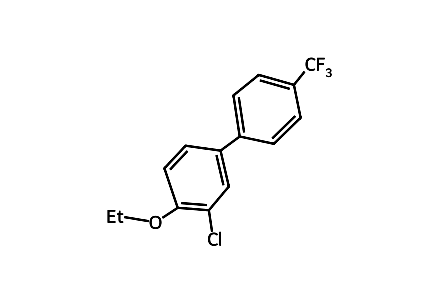 CCOc1ccc(-c2ccc(C(F)(F)F)cc2)cc1Cl